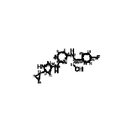 OC[C@H](Nc1ccnc(Nc2cc(C3CC3)[nH]n2)n1)c1ccc(F)cc1